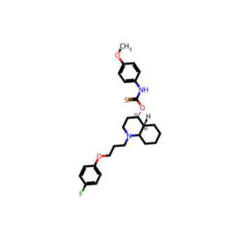 COc1ccc(NC(=S)O[C@H]2CCN(CCCOc3ccc(F)cc3)C3CCCC[C@H]32)cc1